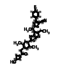 CCc1nc2sc(N3C[C@H](C)N(CC(=O)N4CC(O)C4)C[C@H]3C)nn2c1N(C)c1nc(-c2ccc(F)cc2)c(C#N)s1